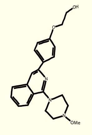 CON1CCN(c2nc(-c3ccc(OCCO)cc3)cc3ccccc23)CC1